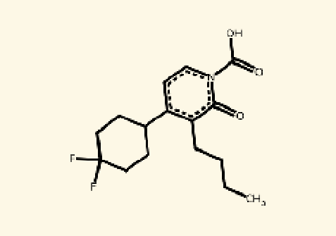 CCCCc1c(C2CCC(F)(F)CC2)ccn(C(=O)O)c1=O